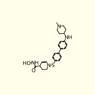 CN1CCC(Nc2ccc(-c3ccc(SN4C=CC(C(=O)NO)CC4)cc3)cc2)CC1